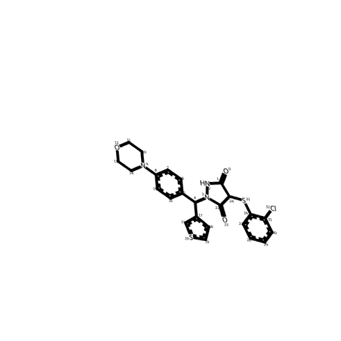 O=C1NN(C(c2ccc(N3CCOCC3)cc2)c2ccsc2)C(=O)C1Sc1ccccc1Cl